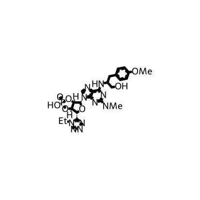 CCn1nnnc1[C@H]1O[C@@H](n2cnc3c(NC(CO)Cc4ccc(OC)cc4)nc(NC)nc32)[C@@H]2OP(=O)(O)O[C@@H]21